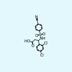 N#Cc1ccc(S(=O)(=O)NC(CC(=O)O)c2ccc(Cl)cc2Cl)cc1